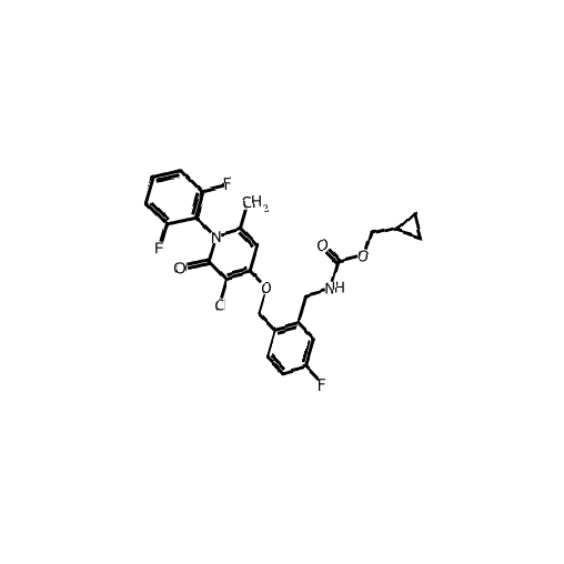 Cc1cc(OCc2ccc(F)cc2CNC(=O)OCC2CC2)c(Cl)c(=O)n1-c1c(F)cccc1F